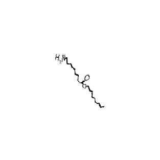 CCCCCCCCCOC(=O)CCCCCCCCN